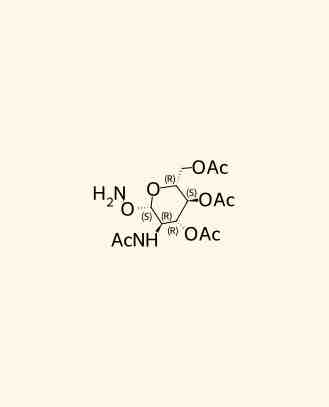 CC(=O)N[C@H]1[C@H](ON)O[C@H](COC(C)=O)[C@@H](OC(C)=O)[C@@H]1OC(C)=O